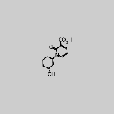 O=C(O)c1cccn(C2CCC[C@@H](O)C2)c1=O